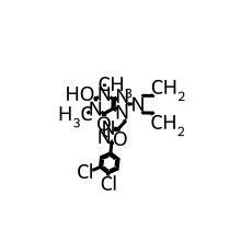 C=CCN(CC=C)c1nc2c(n1Cc1nnc(-c3ccc(Cl)c(Cl)c3)o1)C(=O)N(C)C(O)N2C